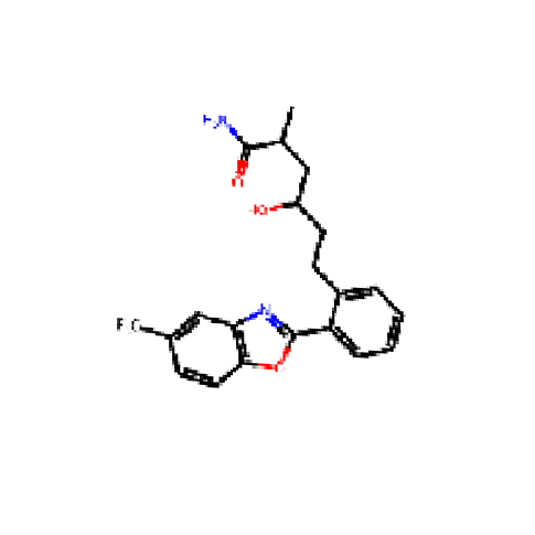 CC(CC(O)CCc1ccccc1-c1nc2cc(C(F)(F)F)ccc2o1)C(N)=O